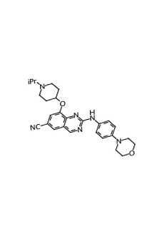 CC(C)N1CCC(Oc2cc(C#N)cc3cnc(Nc4ccc(N5CCOCC5)cc4)nc23)CC1